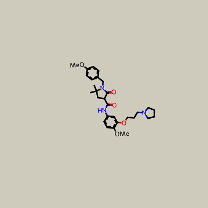 COc1ccc(CN2C(=O)C(C(=O)Nc3ccc(OC)c(OCCCN4CCCC4)c3)CC2(C)C)cc1